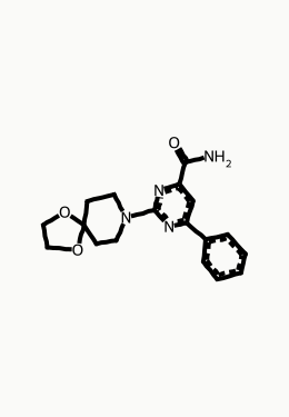 NC(=O)c1cc(-c2ccccc2)nc(N2CCC3(CC2)OCCO3)n1